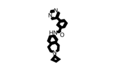 O=C(Nc1ccc2c(c1)CCN(C1CCC1)CC2)c1cccc(-c2cncnc2)c1